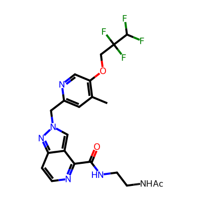 CC(=O)NCCNC(=O)c1nccc2nn(Cc3cc(C)c(OCC(F)(F)C(F)F)cn3)cc12